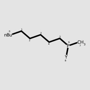 CCCCCCCCC[P](C)[Y]